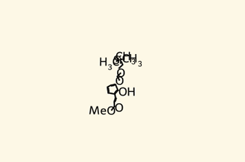 COC(=O)/C=C/c1cccc(OCOCC[Si](C)(C)C)c1O